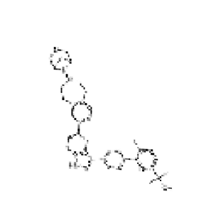 Cc1ccc(C(C)(C)O)nc1-c1ccc(-c2n[nH]c3ncc(-c4ccc5c(c4)CC[C@@H](N4C6COCC4C6)CC5)cc23)cc1